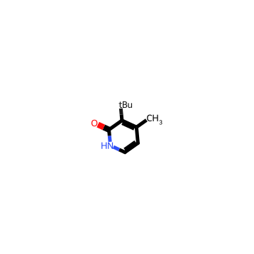 Cc1cc[nH]c(=O)c1C(C)(C)C